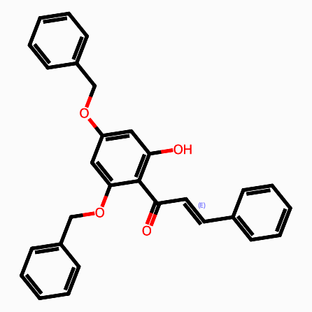 O=C(/C=C/c1ccccc1)c1c(O)cc(OCc2ccccc2)cc1OCc1ccccc1